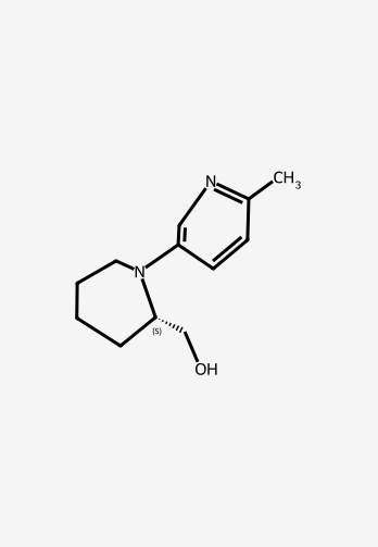 Cc1ccc(N2CCCC[C@H]2CO)cn1